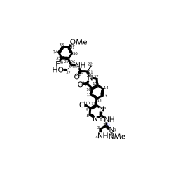 CN/N=C(\C=N)Nc1ncc(Cl)c(-c2ccc3c(c2)C(=O)N([C@H](C)C(=O)N[C@H](CO)c2cc(OC)ccc2F)C3)n1